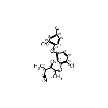 CC(C#N)C(=O)C(C)Oc1cc(Oc2ccc(Cl)cc2Cl)ccc1Cl